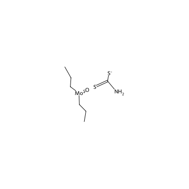 CC[CH2][Mo+](=[O])[CH2]CC.NC(=S)[S-]